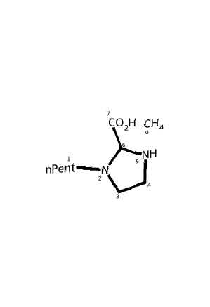 C.CCCCCN1CCNC1C(=O)O